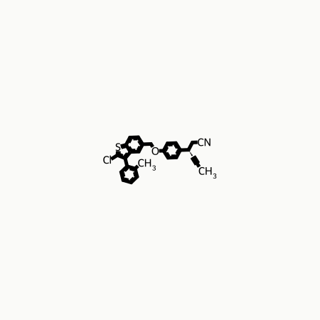 CC#C[C@@H](CC#N)c1ccc(OCc2ccc3sc(Cl)c(-c4ccccc4C)c3c2)cc1